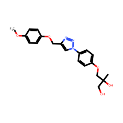 CC(O)(CO)COc1ccc(-n2cc(COc3ccc(OC(F)(F)F)cc3)nn2)cc1